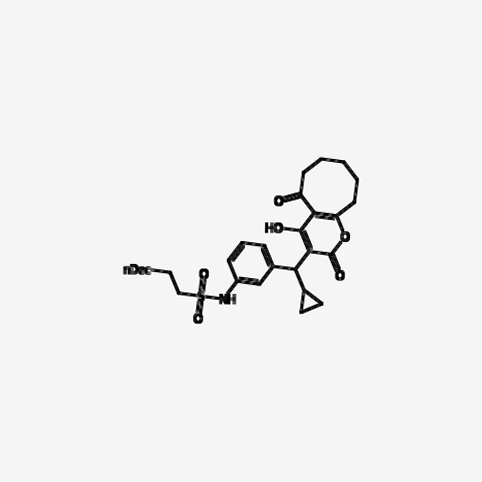 CCCCCCCCCCCCS(=O)(=O)Nc1cccc(C(c2c(O)c3c(oc2=O)CCCCCC3=O)C2CC2)c1